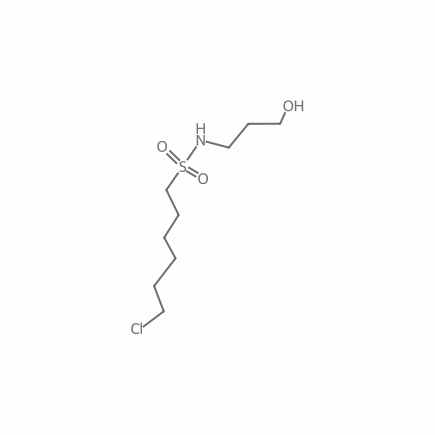 O=S(=O)(CCCCCCCl)NCCCO